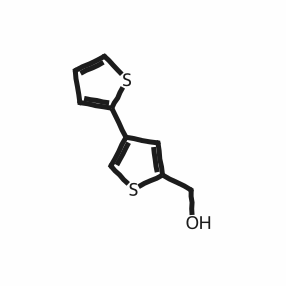 OCc1cc(-c2cccs2)cs1